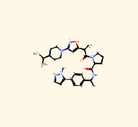 COC(OC)C1CCN(c2cc(C(C(=O)N3CCCC3C(=O)NC(C)c3ccc(-c4ccnn4C)cc3)C(C)C)on2)CC1